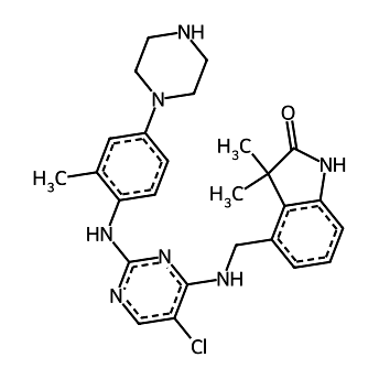 Cc1cc(N2CCNCC2)ccc1Nc1ncc(Cl)c(NCc2cccc3c2C(C)(C)C(=O)N3)n1